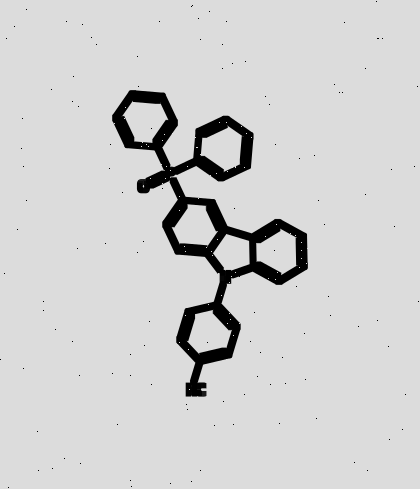 [C-]#[N+]c1ccc(-n2c3ccccc3c3cc(P(=O)(c4ccccc4)c4ccccc4)ccc32)cc1